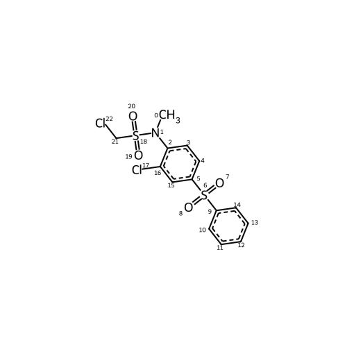 CN(c1ccc(S(=O)(=O)c2ccccc2)cc1Cl)S(=O)(=O)CCl